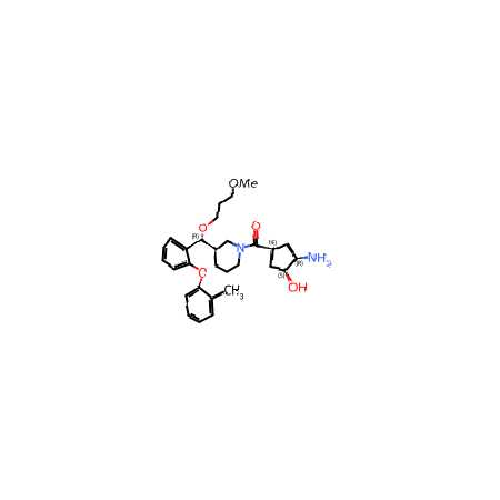 COCCCO[C@@H](c1ccccc1Oc1ccccc1C)C1CCCN(C(=O)[C@H]2C[C@@H](N)[C@@H](O)C2)C1